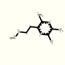 Nc1nc(C(F)(F)F)c(Cl)nc1CCOC=O